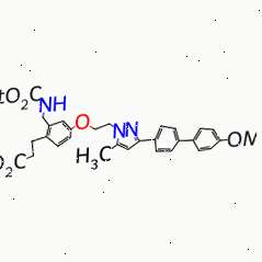 CCOC(=O)NCc1cc(OCCn2nc(-c3ccc(-c4ccc(OC)cc4)cc3)cc2C)ccc1CCC(=O)O